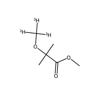 [2H]C([2H])([2H])OC(C)(C)C(=O)OC